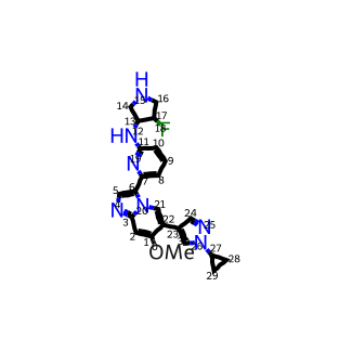 COc1cc2ncc(-c3cccc(NC4CNCC4F)n3)n2cc1-c1cnn(C2CC2)c1